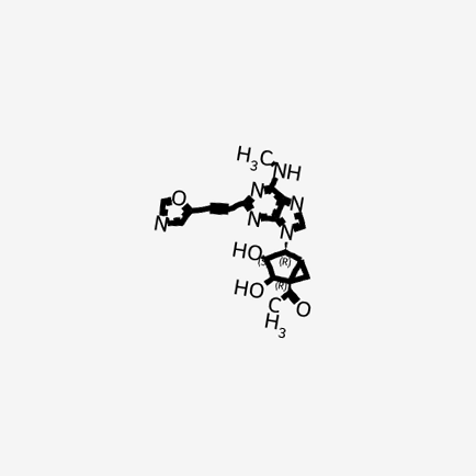 CNc1nc(C#Cc2cnco2)nc2c1ncn2[C@@H]1C2C[C@]2(C(C)=O)C(O)[C@H]1O